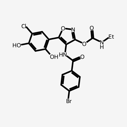 CCNC(=O)Oc1noc(-c2cc(Cl)c(O)cc2O)c1NC(=O)c1ccc(Br)cc1